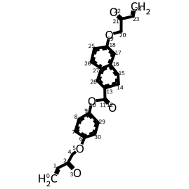 C=CC(=O)COc1ccc(OC(=O)c2ccc3cc(OCC(=O)C=C)ccc3c2)cc1